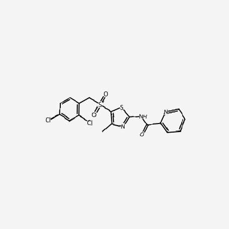 Cc1nc(NC(=O)c2ccccn2)sc1S(=O)(=O)Cc1ccc(Cl)cc1Cl